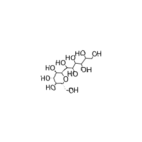 OCC(O)C(O)C(O)C(O)C(O)[C@H]1O[C@H](CO)[C@@H](O)[C@H](O)[C@H]1O